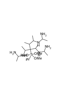 C[O][Ti]([O]C)([O]C)([CH](C)C)[C](C(C)NC(C)N)(C(C)NC(C)N)C(C)C(C)NC(C)N